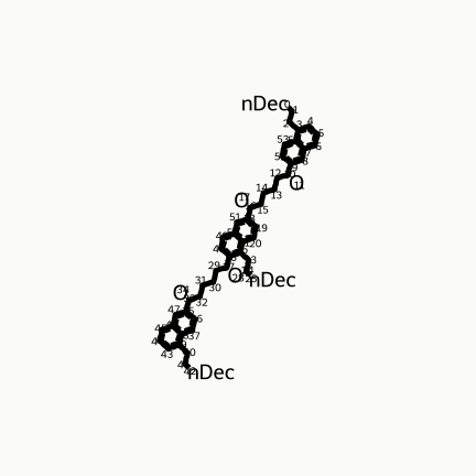 CCCCCCCCCCCCc1cccc2cc(C(=O)CCCCC(=O)c3ccc4c(CCCCCCCCCCCC)c(C(=O)CCCCC(=O)c5ccc6c(CCCCCCCCCCCC)cccc6c5)ccc4c3)ccc12